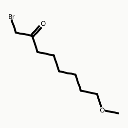 COCCCCCCC(=O)CBr